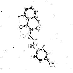 CCN(C(=O)c1c(C)cccc1F)[C@@H](C)CNc1ncc(C(F)(F)F)cn1